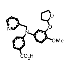 COc1ccc(N(Cc2cccnc2)c2cccc(C(=O)O)c2)cc1OC1CCCO1